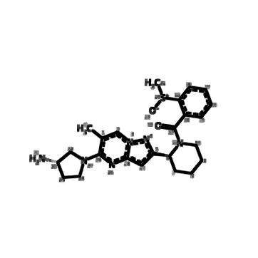 Cc1cn2nc([C@@H]3CCCCN3C(=O)c3ccccc3[S+](C)[O-])cc2nc1N1CC[C@H](N)C1